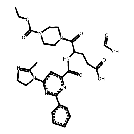 CCOC(=O)N1CCN(C(=O)C(CCC(=O)O)NC(=O)c2cc(N3CCN=C3C)nc(-c3ccccc3)n2)CC1.O=CO